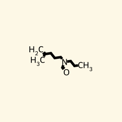 C=C(C)CCCN(C=O)CCC